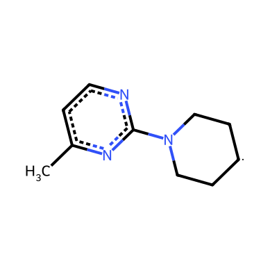 Cc1ccnc(N2CC[CH]CC2)n1